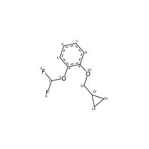 FC(F)Oc1ccccc1OCC1CC1